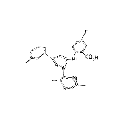 Cc1cccc(-c2cc(Nc3ccc(F)cc3C(=O)O)n(-c3nc(C)cnc3C)n2)c1